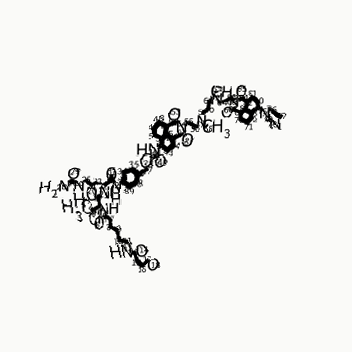 CC(C)C(NC(=O)CCCCCNC(=O)/C=C\C=O)C(=O)N[C@@H](CCCNC(N)=O)C(=O)Nc1ccc(COC(=O)Nc2ccc3c4c(cccc24)C(=O)N(CCN(C)CCCN(C)CCN2C(=O)c4cccc5c(-n6ccnc6)ccc(c45)C2=O)C3=O)cc1